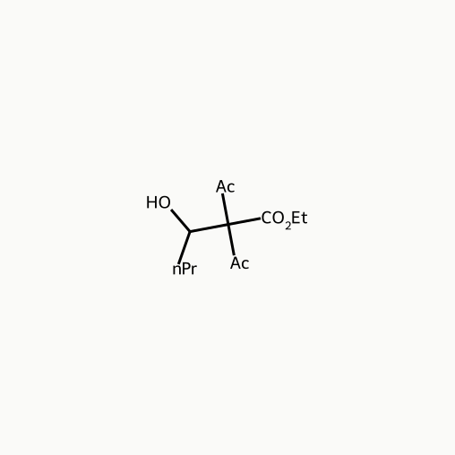 CCCC(O)C(C(C)=O)(C(C)=O)C(=O)OCC